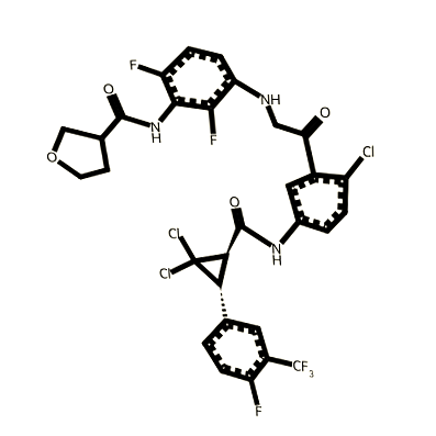 O=C(CNc1ccc(F)c(NC(=O)C2CCOC2)c1F)c1cc(NC(=O)[C@H]2[C@H](c3ccc(F)c(C(F)(F)F)c3)C2(Cl)Cl)ccc1Cl